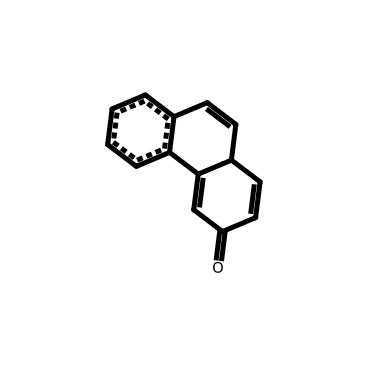 O=C1C=CC2C=Cc3ccccc3C2=C1